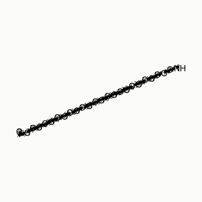 CNCCOCCOCCOCCOCCOCCOCCOCCOCCOCCOCCOCCOCCOCCOCCOCCOCCOCCOCCOCCOCCOCCOCCOCCOCCC(C)=O